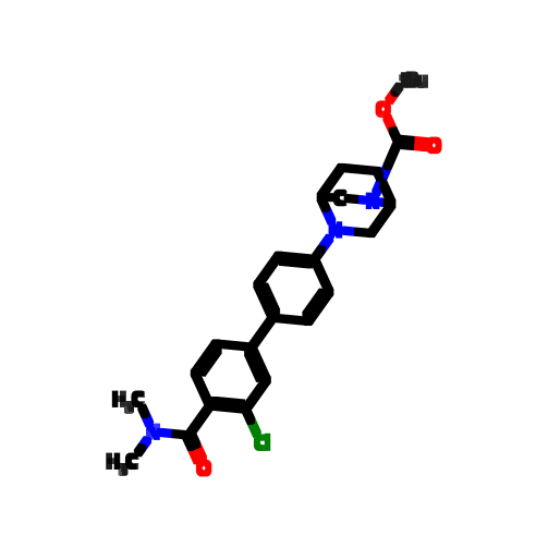 CN(C)C(=O)c1ccc(-c2ccc(N3CC4CCC3CN4C(=O)OC(C)(C)C)cc2)cc1Cl